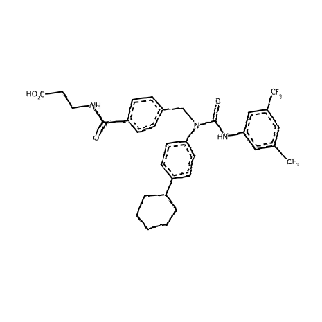 O=C(O)CCNC(=O)c1ccc(CN(C(=O)Nc2cc(C(F)(F)F)cc(C(F)(F)F)c2)c2ccc(C3CCCCC3)cc2)cc1